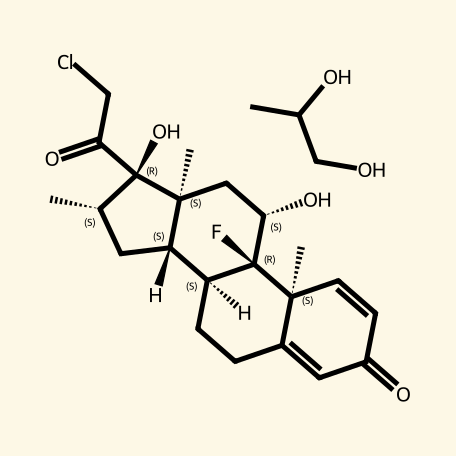 CC(O)CO.C[C@H]1C[C@H]2[C@@H]3CCC4=CC(=O)C=C[C@]4(C)[C@@]3(F)[C@@H](O)C[C@]2(C)[C@@]1(O)C(=O)CCl